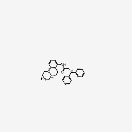 O=C(C[C@H](c1ccccc1)c1ccncc1)Nc1cccc(F)c1CC[C@@H]1CN[CH]CO1